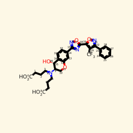 O=C(O)CCCN(CCCC(=O)O)[C@@H]1COc2cc(-c3noc(-c4onc(-c5ccccc5)c4C(F)(F)F)n3)ccc2[C@H]1O